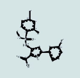 COP(=O)(Nc1cc(-c2cccc(F)c2)sc1C(=O)O)c1ccc(C)cc1C